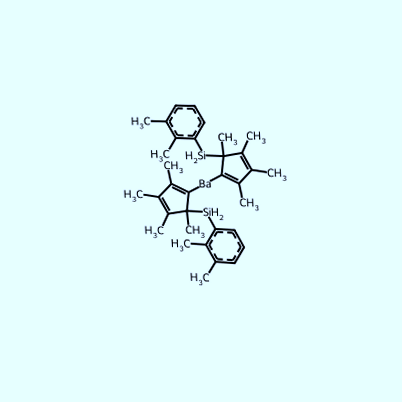 CC1=C(C)C(C)([SiH2]c2cccc(C)c2C)[C]([Ba][C]2=C(C)C(C)=C(C)C2(C)[SiH2]c2cccc(C)c2C)=C1C